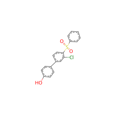 O=S(=O)(c1ccccc1)c1ccc(-c2ccc(O)cc2)cc1Cl